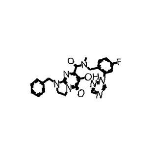 CN(Cc1ccc(F)cc1-n1cncn1)C(=O)c1nc2n(c(=O)c1O)CCN2Cc1ccccc1